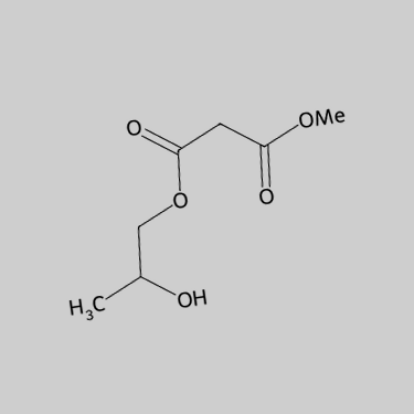 COC(=O)CC(=O)OCC(C)O